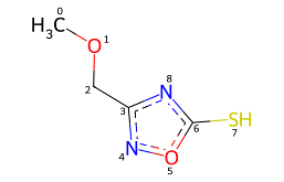 COCc1noc(S)n1